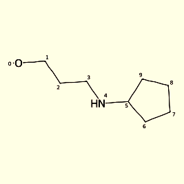 [O]CCCNC1CCCC1